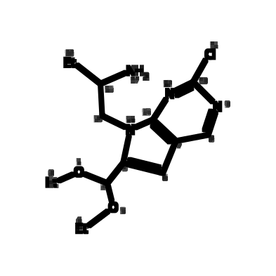 CCOC(OCC)c1cc2cnc(Cl)nc2n1CC(N)CC